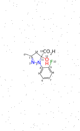 CC1=NN(c2ccccc2F)C(O)(C(=O)O)C1